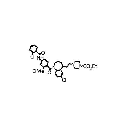 CCOC(=O)N1CCN(CCC2CCCN(C(=O)c3ccc(NC(=O)c4ccccc4Cl)cc3OC)c3ccc(Cl)cc32)CC1